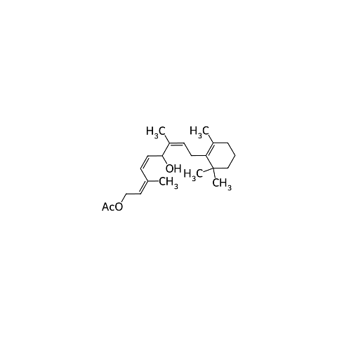 CC(=O)OC/C=C(C)\C=C/C(O)C(C)=CCC1=C(C)CCCC1(C)C